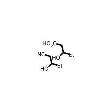 CCC(O)CC#N.CCC(O)CC(=O)O